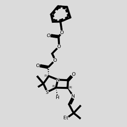 CCC(C)(C)C=N[C@@H]1C(=O)N2[C@@H]1SC(C)(C)[C@@H]2C(=O)OCOC(=O)Oc1ccccc1